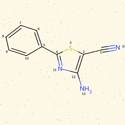 N#Cc1sc(-c2ccccc2)nc1N